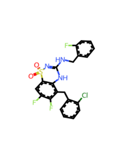 O=S1(=O)N=C(NCc2ccccc2F)Nc2c1cc(F)c(F)c2Cc1ccccc1Cl